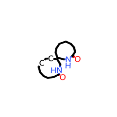 O=C1CCCCCCCCCCN1.O=C1CCCCCCCCCN1